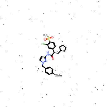 COc1ccc(Cn2ccc(NC(=O)[C@H](CC3CCCC3)c3ccc(S(C)(=O)=O)c(Cl)c3)n2)cc1